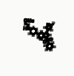 COCCNC1CCC(c2cnc3c(c2)c(-c2cnn(C)c2)cn3S(=O)(=O)c2ccccc2)CC1